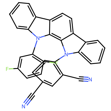 N#Cc1ccc(-n2c3ccccc3c3ccc4c5ccccc5n(-c5cc(F)ccc5F)c4c32)c(C#N)c1